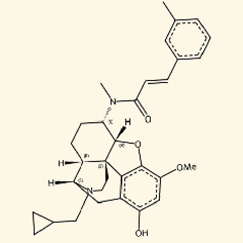 COc1cc(O)c2c3c1O[C@H]1[C@@H](N(C)C(=O)C=Cc4cccc(C)c4)CC[C@H]4[C@@H](C2)N(CC2CC2)CC[C@@]341